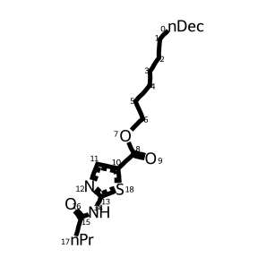 CCCCCCCCCCCCCCCCOC(=O)c1cnc(NC(=O)CCC)s1